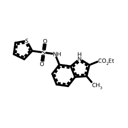 CCOC(=O)c1[nH]c2c(NS(=O)(=O)c3cccs3)cccc2c1C